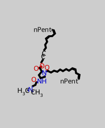 CCCCC/C=C\C/C=C\CCCCCCCCOC(=O)C1C[C@@H](NC(=O)CCN(C)C)CN1C(=O)CCCCCCC/C=C\C/C=C\CCCCC